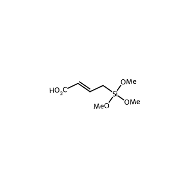 CO[Si](C/C=C/C(=O)O)(OC)OC